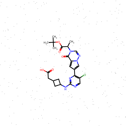 CC(C(=O)OC(C)(C)C)n1cnn2cc(-c3nc(NC4CC(CC(=O)O)C4)ncc3Cl)cc2c1=O